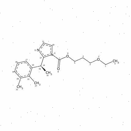 CCOCCCOC(=O)n1ccnc1[C@@H](C)c1cccc(C)c1C